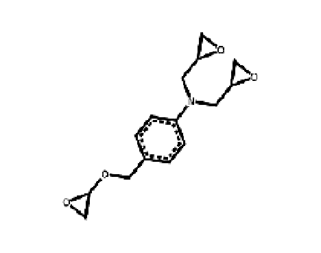 c1cc(N(CC2CO2)CC2CO2)ccc1COC1CO1